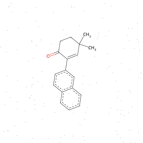 CC1(C)C=C(c2ccc3ccccc3c2)C(=O)CC1